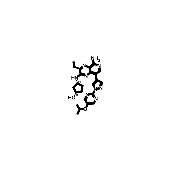 CCc1nc2c(N)ncc(-c3cnn(-c4ncc(OC(C)C)cn4)c3)c2nc1N[C@@H]1CC[C@H](O)C1